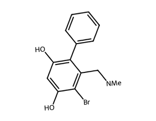 CNCc1c(Br)c(O)cc(O)c1-c1ccccc1